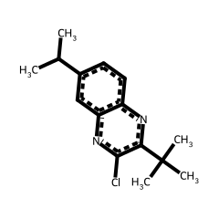 CC(C)c1ccc2nc(C(C)(C)C)c(Cl)nc2c1